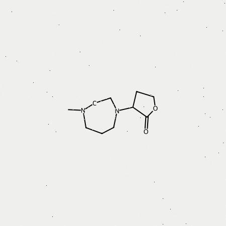 CN1CCCN(C2CCOC2=O)CC1